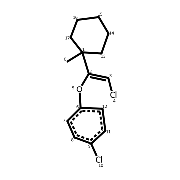 CC1(C(=CCl)Oc2ccc(Cl)cc2)CCCCC1